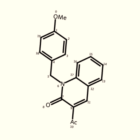 COc1ccc(Cn2c(=O)c(C(C)=O)cc3ccccc32)cc1